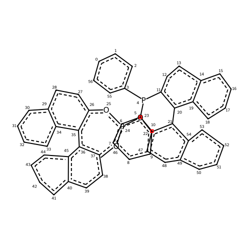 c1ccc(P(c2ccccc2)c2ccc3ccccc3c2-c2c(Op3oc4ccc5ccccc5c4c4c(ccc5ccccc54)o3)ccc3ccccc23)cc1